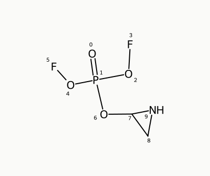 O=P(OF)(OF)OC1CN1